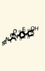 O=C1OC(CN=C=S)CN1c1ccc([C@@H]2CCS[C@H](O)C2)c(F)c1